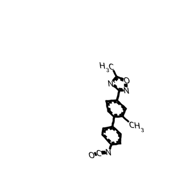 Cc1nc(-c2ccc(-c3ccc(N=C=O)cc3)c(C)c2)no1